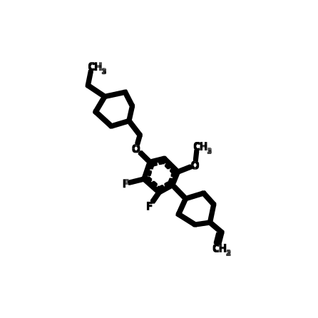 C=CC1CCC(c2c(OC)cc(OCC3CCC(CC)CC3)c(F)c2F)CC1